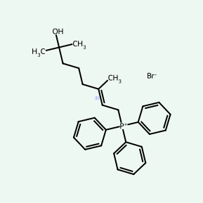 C/C(=C\C[P+](c1ccccc1)(c1ccccc1)c1ccccc1)CCCC(C)(C)O.[Br-]